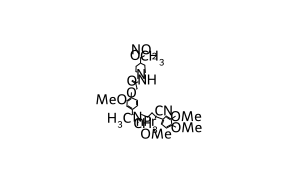 CCCC(C#N)(CCCN(C)C(C)c1ccc(OCC(=O)NN2CCC(C(C)O[N+](=O)[O-])CC2)c(OC)c1)c1cc(OC)c(OC)c(OC)c1